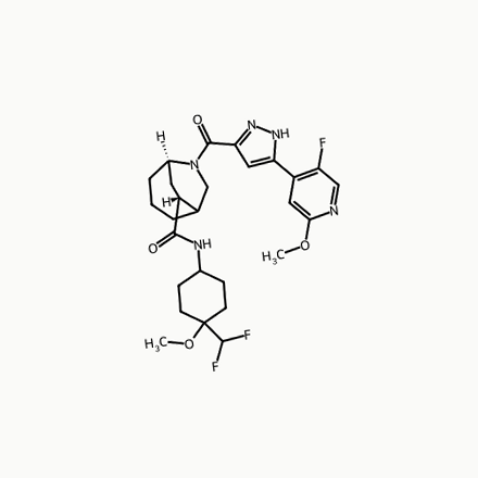 COc1cc(-c2cc(C(=O)N3CC4CCC[C@@H]3C[C@H]4C(=O)NC3CCC(OC)(C(F)F)CC3)n[nH]2)c(F)cn1